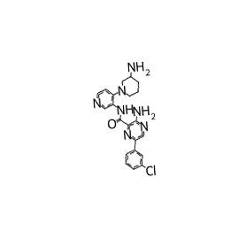 Nc1ncc(-c2cccc(Cl)c2)nc1C(=O)Nc1cnccc1N1CCCC(N)C1